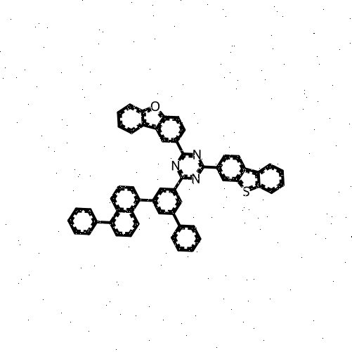 c1ccc(-c2cc(-c3nc(-c4ccc5c(c4)sc4ccccc45)nc(-c4ccc5oc6ccccc6c5c4)n3)cc(-c3cccc4c(-c5ccccc5)cccc34)c2)cc1